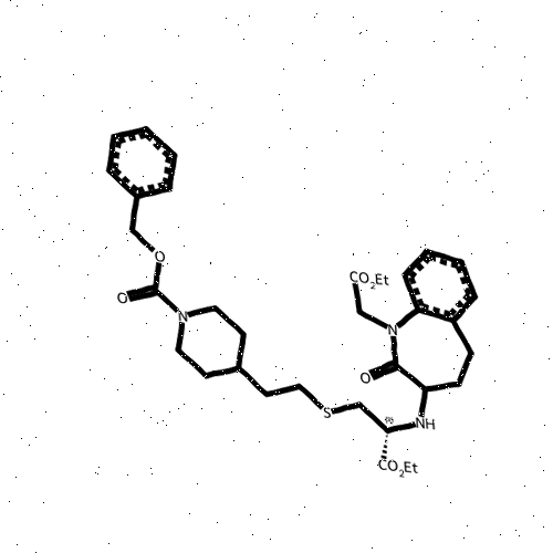 CCOC(=O)CN1C(=O)C(N[C@@H](CSCCC2CCN(C(=O)OCc3ccccc3)CC2)C(=O)OCC)CCc2ccccc21